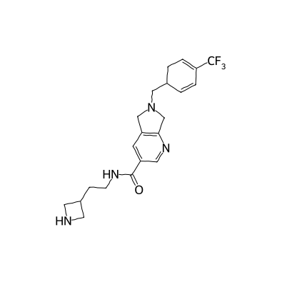 O=C(NCCC1CNC1)c1cnc2c(c1)CN(CC1C=CC(C(F)(F)F)=CC1)C2